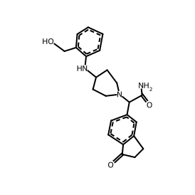 NC(=O)C(c1ccc2c(c1)CCC2=O)N1CCC(Nc2ccccc2CO)CC1